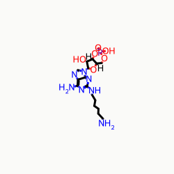 NCCCCCCNc1nc(N)c2ncn([C@@H]3O[C@@H]4COP(=O)(O)O[C@H]4[C@H]3O)c2n1